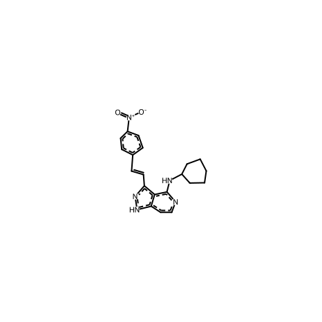 O=[N+]([O-])c1ccc(C=Cc2n[nH]c3ccnc(NC4CCCCC4)c23)cc1